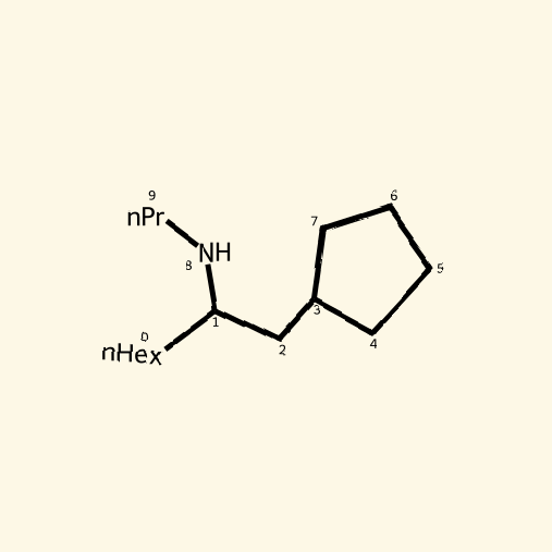 CCCCCCC(CC1CCCC1)NCCC